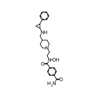 NC(=O)c1ccc(C(=O)N(O)CCN2CCC(CNC3CC3c3ccccc3)CC2)cc1